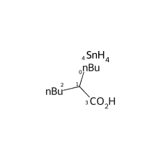 CCCCC(CCCC)C(=O)O.[SnH4]